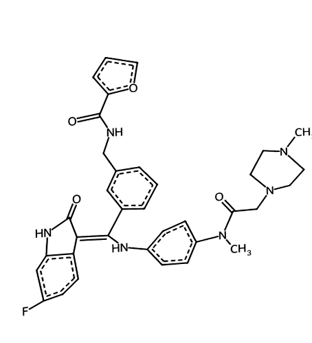 CN1CCN(CC(=O)N(C)c2ccc(NC(=C3C(=O)Nc4cc(F)ccc43)c3cccc(CNC(=O)c4ccco4)c3)cc2)CC1